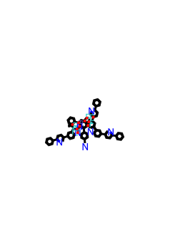 C=C/C=C(/c1ccccc1)N(C)C1C(C=C)c2cc(-c3ccc(-c4ccccc4)nc3)ccc2N1c1cc(C#N)cc(-n2c3ccc(-c4ccc(-c5ccccc5)nc4)cc3c3cc(-c4ccc(-c5ccccc5)nc4)ccc32)c1-c1cc(C(F)(F)F)ccc1C(F)(F)F